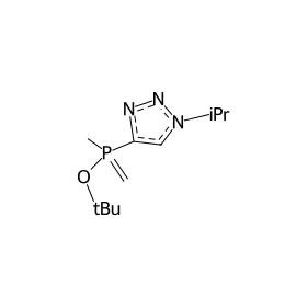 C=P(C)(OC(C)(C)C)c1cn(C(C)C)nn1